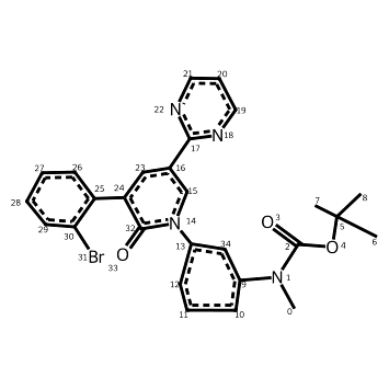 CN(C(=O)OC(C)(C)C)c1cccc(-n2cc(-c3ncccn3)cc(-c3ccccc3Br)c2=O)c1